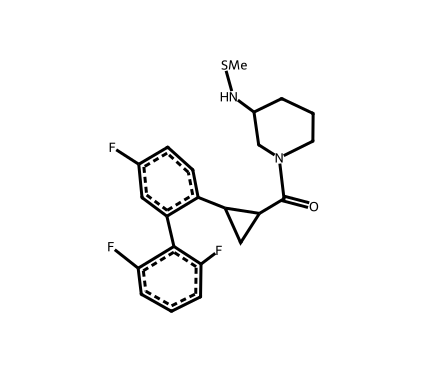 CSNC1CCCN(C(=O)C2CC2c2ccc(F)cc2-c2c(F)cccc2F)C1